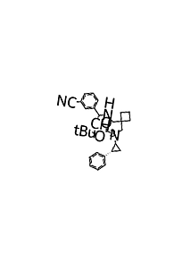 CC(NCC1(CN(C(=O)OC(C)(C)C)[C@H]2C[C@@H]2c2ccccc2)CCC1)c1cccc(C#N)c1